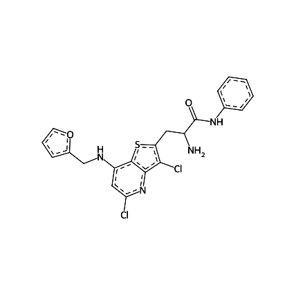 NC(Cc1sc2c(NCc3ccco3)cc(Cl)nc2c1Cl)C(=O)Nc1ccccc1